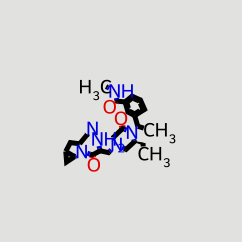 CC[C@H]1CN(CC(N)C(=O)N2C(C#N)CC3CC32)CC(=O)N1C(C)c1cccc(C(=O)NC)c1